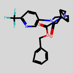 O=C(OCc1ccccc1)N1CC2CC(C1)C21CC(=O)N(c2ccc(C(F)(F)F)nc2)C1